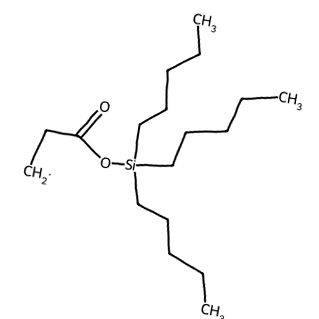 [CH2]CC(=O)O[Si](CCCCC)(CCCCC)CCCCC